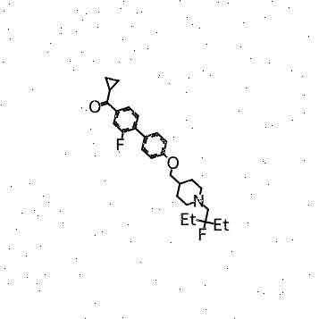 CCC(F)(CC)CN1CCC(COc2ccc(-c3ccc(C(=O)C4CC4)cc3F)cc2)CC1